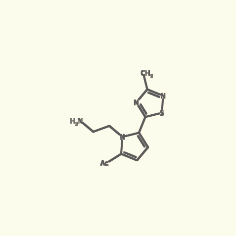 CC(=O)c1ccc(-c2nc(C)ns2)n1CCN